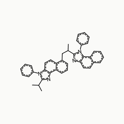 CC(C)c1nc2c3cccc(CC(C)c4nc5ccc6ccccc6c5n4-c4ccccc4)c3ccc2n1-c1ccccc1